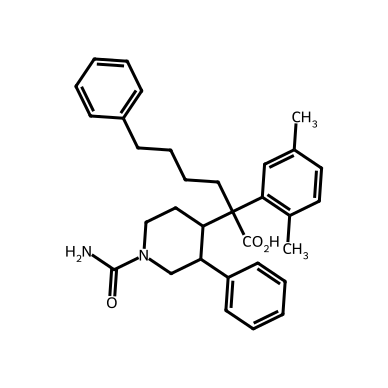 Cc1ccc(C)c(C(CCCCc2ccccc2)(C(=O)O)C2CCN(C(N)=O)CC2c2ccccc2)c1